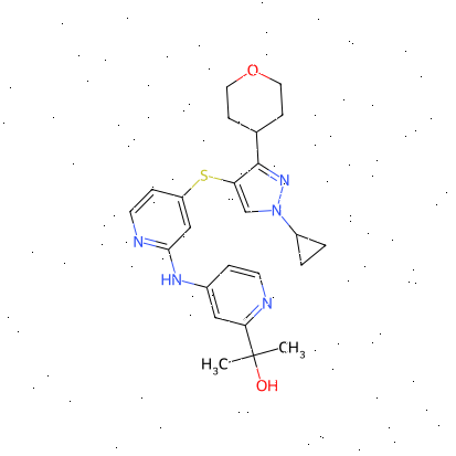 CC(C)(O)c1cc(Nc2cc(Sc3cn(C4CC4)nc3C3CCOCC3)ccn2)ccn1